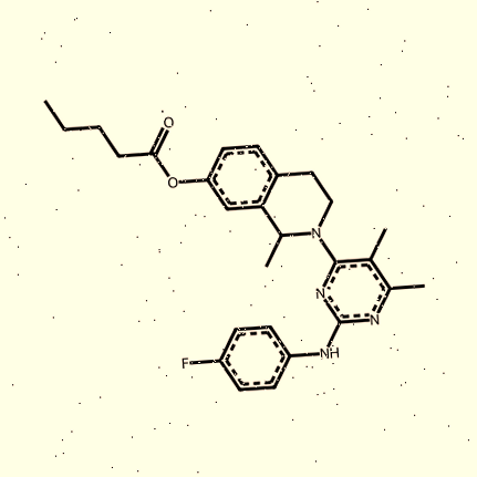 CCCCC(=O)Oc1ccc2c(c1)C(C)N(c1nc(Nc3ccc(F)cc3)nc(C)c1C)CC2